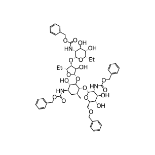 CC[C@@H]1O[C@H](O[C@H]2[C@@H](O)[C@H](O[C@@H]3[C@@H](O)[C@H](NC(=O)OCc4ccccc4)C[C@H](C)[C@H]3O[C@H]3O[C@H](COCc4ccccc4)[C@@H](O)[C@H](O)[C@H]3NC(=O)OCc3ccccc3)O[C@@H]2CC)[C@H](NC(=O)OCc2ccccc2)[C@@H](O)[C@@H]1O